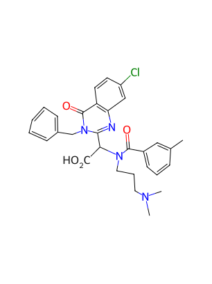 Cc1cccc(C(=O)N(CCCN(C)C)C(C(=O)O)c2nc3cc(Cl)ccc3c(=O)n2Cc2ccccc2)c1